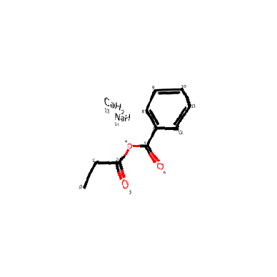 CCC(=O)OC(=O)c1ccccc1.[CaH2].[NaH]